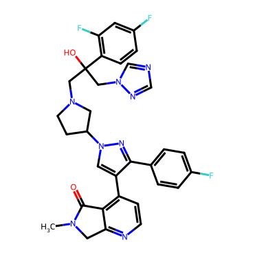 CN1Cc2nccc(-c3cn(C4CCN(CC(O)(Cn5cncn5)c5ccc(F)cc5F)C4)nc3-c3ccc(F)cc3)c2C1=O